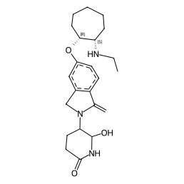 C=C1c2ccc(O[C@@H]3CCCCC[C@@H]3NCC)cc2CN1C1CCC(=O)NC1O